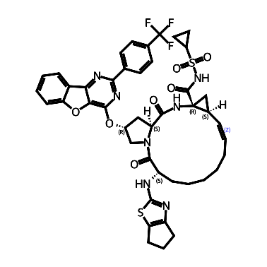 O=C1N[C@]2(C(=O)NS(=O)(=O)C3CC3)C[C@H]2/C=C\CCCCC[C@H](Nc2nc3c(s2)CCC3)C(=O)N2C[C@H](Oc3nc(-c4ccc(C(F)(F)F)cc4)nc4c3oc3ccccc34)C[C@@H]12